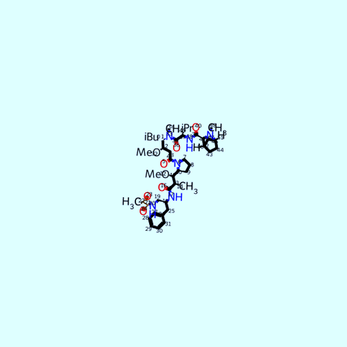 CC[C@H](C)[C@@H]([C@@H](CC(=O)N1CCC[C@H]1[C@H](OC)[C@@H](C)C(=O)N[C@H](CNS(C)(=O)=O)Cc1ccccc1)OC)N(C)C(=O)[C@@H](NC(=O)[C@@H]1[C@H]2CC[C@H](C2)N1C)C(C)C